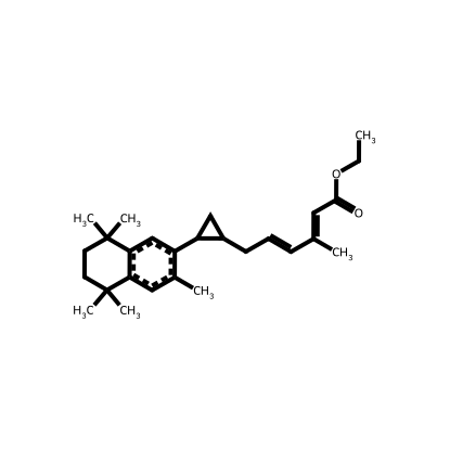 CCOC(=O)C=C(C)C=CCC1CC1c1cc2c(cc1C)C(C)(C)CCC2(C)C